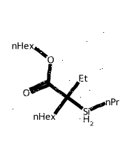 CCCCCCOC(=O)C(CC)(CCCCCC)[SiH2]CCC